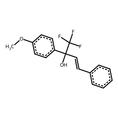 COc1ccc(C(O)(C=Cc2ccccc2)C(F)(F)F)cc1